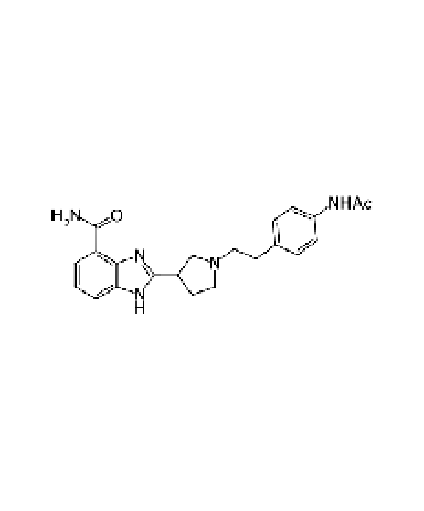 CC(=O)Nc1ccc(CCN2CCC(c3nc4c(C(N)=O)cccc4[nH]3)C2)cc1